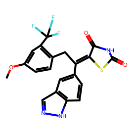 COc1ccc(C/C(=C2/SC(=O)NC2=O)c2ccc3[nH]ncc3c2)c(C(F)(F)F)c1